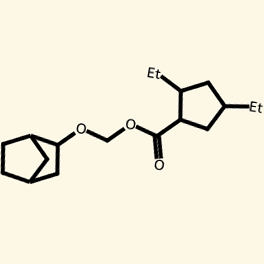 CCC1CC(CC)C(C(=O)OCOC2CC3CCC2C3)C1